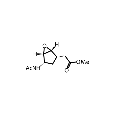 COC(=O)C[C@@H]1C[C@H](NC(C)=O)[C@@H]2O[C@H]12